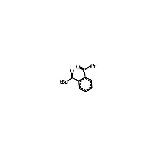 CC(C)[P](=O)c1ccccc1C(=O)C(C)(C)C